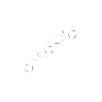 O=C(Nc1ccc(C2=CCN(C(=O)c3ccccc3)CC2)cn1)N1Cc2ccccc2C1